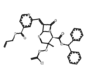 C=CCOC(=O)c1ccnc(/C=C2/C(=O)N3C2SCC(C)(OOC(=C)Cl)[C@@H]3C(=O)OC(c2ccccc2)c2ccccc2)c1